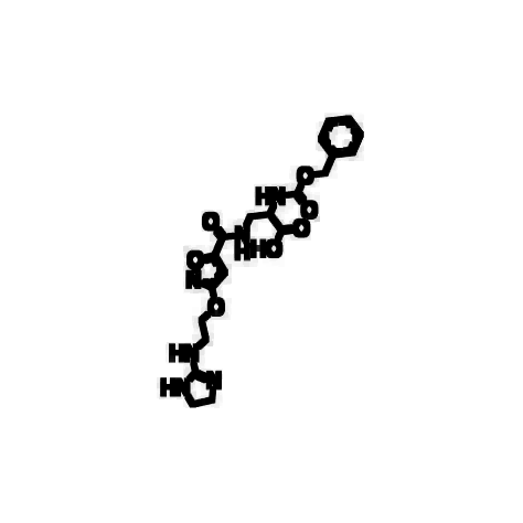 O=C(NC(CNC(=O)c1cc(OCCNC2=NCCN2)no1)C(=O)O)OCc1ccccc1